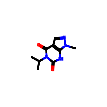 CC(C)n1c(=O)[nH]c2c(cnn2C)c1=O